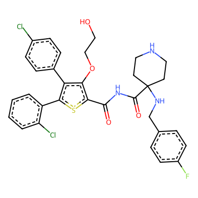 O=C(NC(=O)C1(NCc2ccc(F)cc2)CCNCC1)c1sc(-c2ccccc2Cl)c(-c2ccc(Cl)cc2)c1OCCO